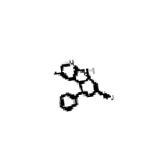 Cc1cnc2c(c1)C1C(c3ccccc3)=CC(C#N)=CC1N2